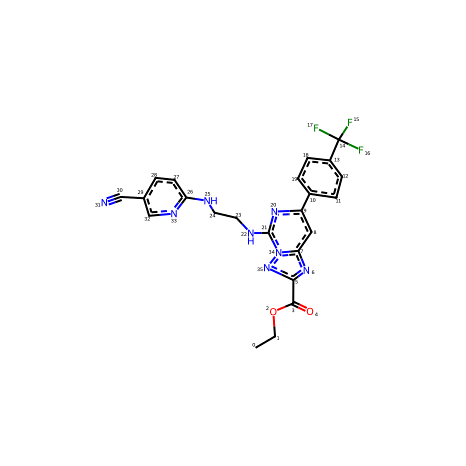 CCOC(=O)c1nc2cc(-c3ccc(C(F)(F)F)cc3)nc(NCCNc3ccc(C#N)cn3)n2n1